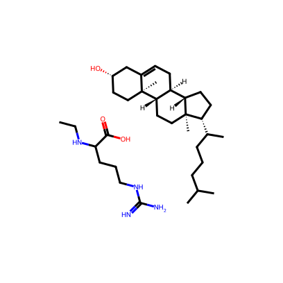 CC(C)CCCC(C)[C@H]1CC[C@H]2[C@@H]3CC=C4C[C@@H](O)CC[C@]4(C)[C@H]3CC[C@]12C.CCNC(CCCNC(=N)N)C(=O)O